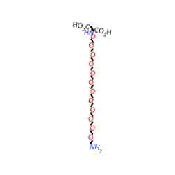 NCCOCCOCCOCCOCCOCCOCCOCCOCCOCCOCCOCCON[C@@H](CC(=O)O)C(=O)O